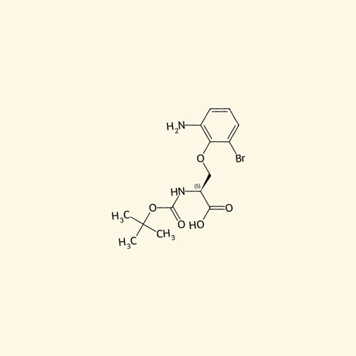 CC(C)(C)OC(=O)N[C@@H](COc1c(N)cccc1Br)C(=O)O